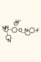 Cn1cc(-c2ccncc2)c(-c2ccc(OCc3ccc4cc(F)ccc4n3)cc2)n1.[Cl-].[H+]